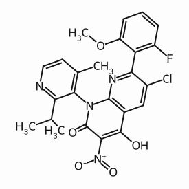 COc1cccc(F)c1-c1nc2c(cc1Cl)c(O)c([N+](=O)[O-])c(=O)n2-c1c(C)ccnc1C(C)C